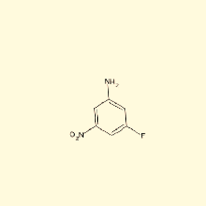 Nc1cc(F)cc([N+](=O)[O-])c1